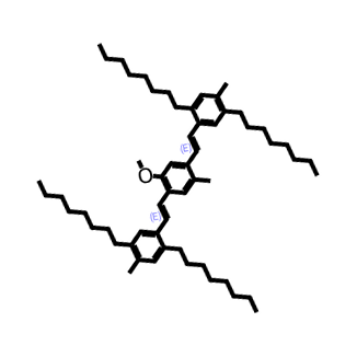 CCCCCCCCc1cc(/C=C/c2cc(OC)c(/C=C/c3cc(CCCCCCCC)c(C)cc3CCCCCCCC)cc2C)c(CCCCCCCC)cc1C